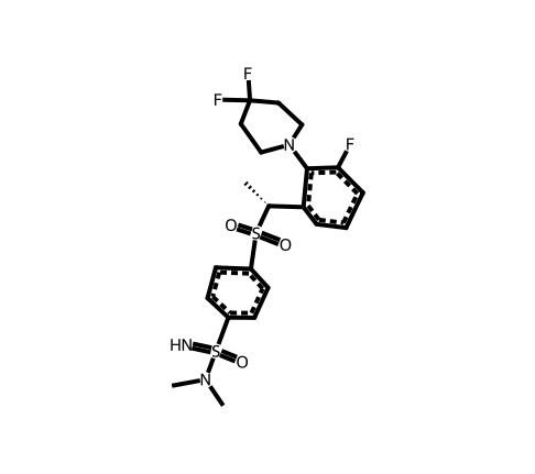 C[C@H](c1cccc(F)c1N1CCC(F)(F)CC1)S(=O)(=O)c1ccc(S(=N)(=O)N(C)C)cc1